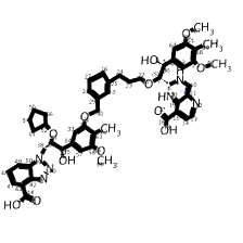 COc1cc([C@@H](O)[C@H](CN/C=C2/N=CC=C(C(=O)O)C2=N)OCCCc2cccc(COc3cc([C@@H](O)[C@H](Cn4nnc5c(C(=O)O)cccc54)OC4CCCC4)cc(OC)c3C)c2)cc(OC)c1C